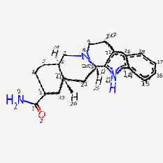 NC(=O)C1CC[C@H]2CN3CCc4c([nH]c5ccccc45)[C@@H]3C[C@@H]2C1